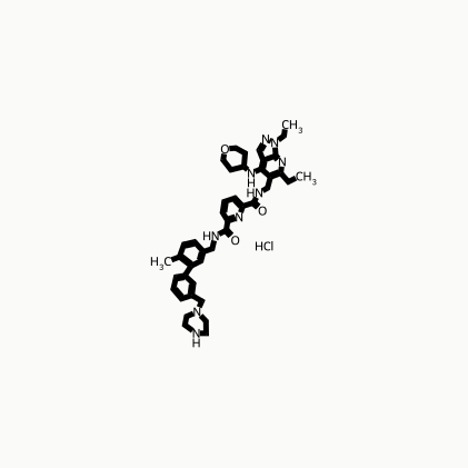 CCc1nc2c(cnn2CC)c(NC2CCOCC2)c1CNC(=O)c1cccc(C(=O)NCc2ccc(C)c(-c3cccc(CN4CCNCC4)c3)c2)n1.Cl